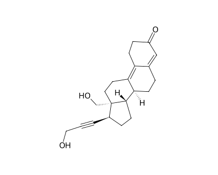 O=C1C=C2CC[C@@H]3C(=C2CC1)CC[C@]1(CO)[C@H](C#CCO)CC[C@@H]31